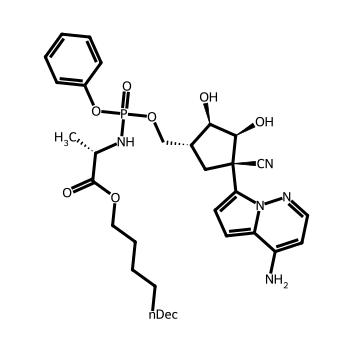 CCCCCCCCCCCCCCOC(=O)[C@H](C)NP(=O)(OC[C@H]1C[C@@](C#N)(c2ccc3c(N)ccnn23)[C@H](O)[C@@H]1O)Oc1ccccc1